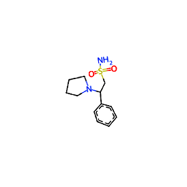 NS(=O)(=O)CC(c1ccccc1)N1CCCC1